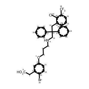 O=C(O)Cc1cc(OCCCNCC(Cc2cccc(C(F)(F)F)c2Cl)(c2ccccc2)c2ccccc2)ccc1Br